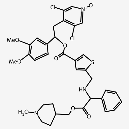 COc1ccc(C(Cc2c(Cl)c[n+]([O-])cc2Cl)OC(=O)c2csc(CNC(C(=O)OCC3CCN(C)CC3)c3ccccc3)c2)cc1OC